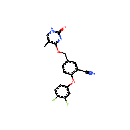 Cc1c[nH]c(=O)nc1OCc1ccc(Oc2ccc(F)c(F)c2)c(C#N)c1